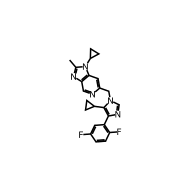 Cc1nc2cnc(Cn3cnc(-c4cc(F)ccc4F)c3C3CC3)cc2n1C1CC1